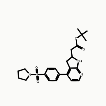 CC(C)(C)OC(=O)CC1Cc2c(-c3ccc(S(=O)(=O)N4CCCC4)cc3)ccnc2N1